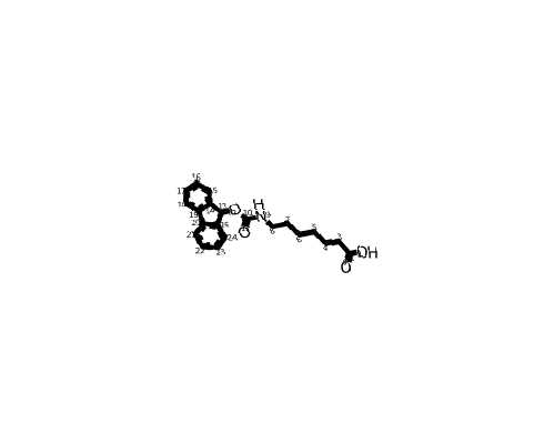 O=C(O)CCCCCCNC(=O)OC1c2ccccc2-c2ccccc21